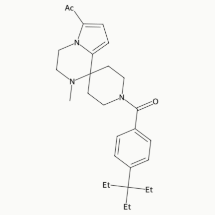 CCC(CC)(CC)c1ccc(C(=O)N2CCC3(CC2)c2ccc(C(C)=O)n2CCN3C)cc1